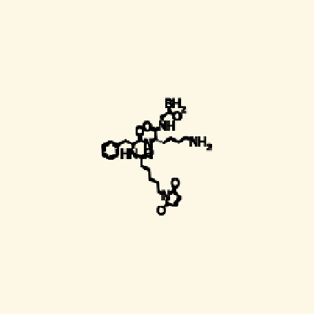 BC(=O)CNC(=O)[C@H](CCCCN)NC(=O)[C@H](Cc1ccccc1)NC(=O)CCCCCN1C(=O)C=CC1=O